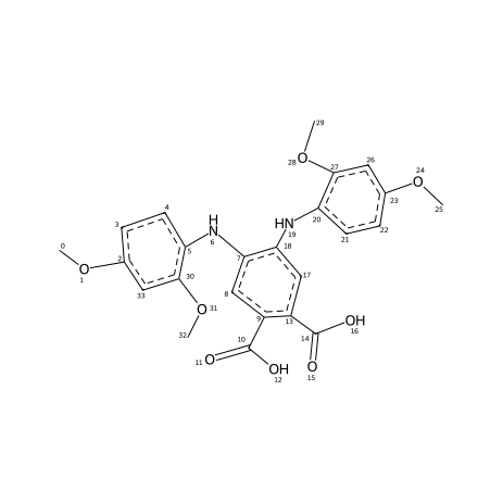 COc1ccc(Nc2cc(C(=O)O)c(C(=O)O)cc2Nc2ccc(OC)cc2OC)c(OC)c1